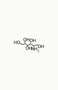 N[C@@H](CO)[C@@H](O)[C@@H](O)[C@H](O)CO